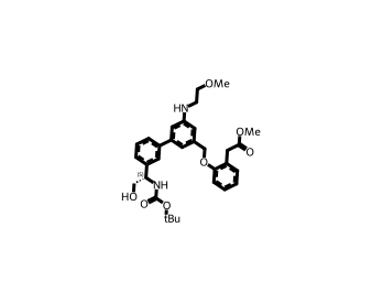 COCCNc1cc(COc2ccccc2CC(=O)OC)cc(-c2cccc([C@@H](CO)NC(=O)OC(C)(C)C)c2)c1